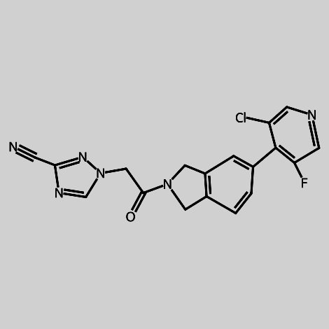 N#Cc1ncn(CC(=O)N2Cc3ccc(-c4c(F)cncc4Cl)cc3C2)n1